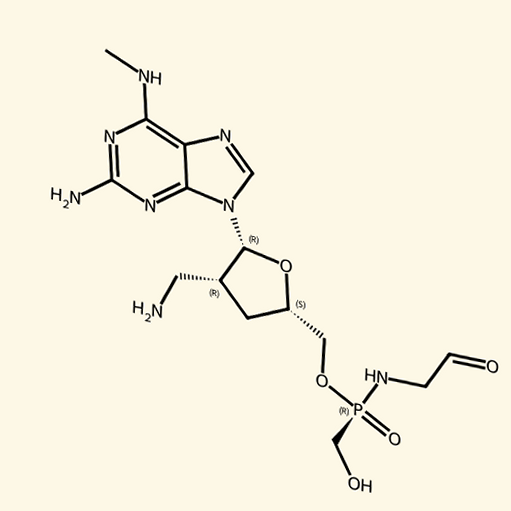 CNc1nc(N)nc2c1ncn2[C@@H]1O[C@H](CO[P@](=O)(CO)NCC=O)C[C@@H]1CN